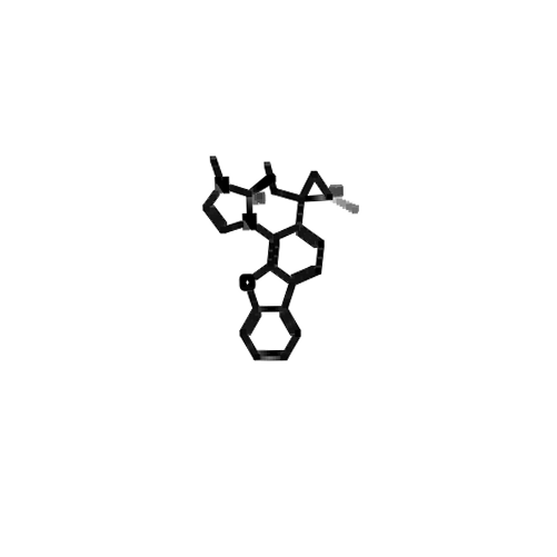 CCC1(c2ccc3c(oc4ccccc43)c2N2C=CN(C)[C@H]2C)C[C@@H]1C